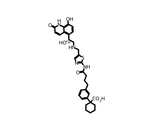 O=C(CCCc1cccc(C2(C(=O)O)CCCCC2)c1)Nc1ncc(CNC[C@H](O)c2ccc(O)c3[nH]c(=O)ccc23)s1